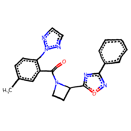 Cc1ccc(-n2nccn2)c(C(=O)N2CCC2c2nc(-c3ccccc3)no2)c1